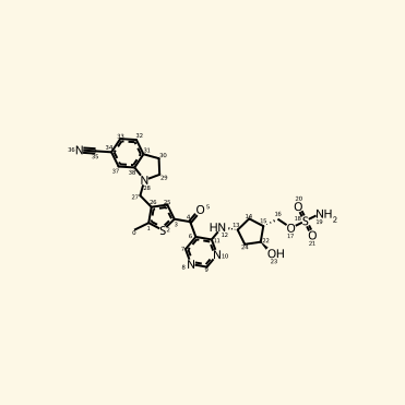 Cc1sc(C(=O)c2cncnc2N[C@@H]2C[C@H](COS(N)(=O)=O)[C@@H](O)C2)cc1CN1CCc2ccc(C#N)cc21